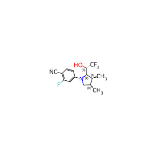 C[C@@H]1[C@H]([C@H](O)C(F)(F)F)N(c2ccc(C#N)c(F)c2)C[C@@H]1C